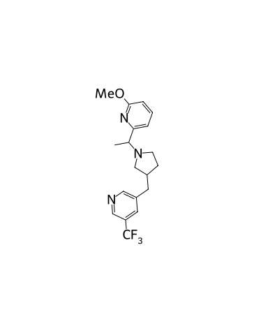 COc1cccc(C(C)N2CCC(Cc3cncc(C(F)(F)F)c3)C2)n1